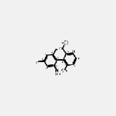 Cc1cc(C)c(-c2c([SiH3])cccc2CCl)c(C)c1